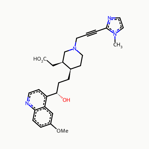 COc1ccc2nccc([C@@H](O)CC[C@@H]3CCN(CC#Cc4nccn4C)C[C@@H]3CC(=O)O)c2c1